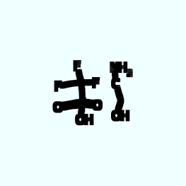 NCCO.O=S(=O)(O)C(F)(F)F